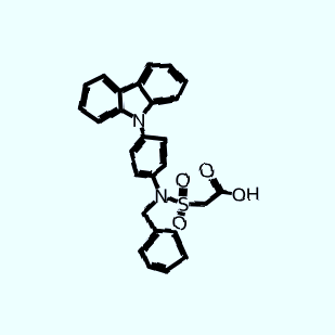 O=C(O)CS(=O)(=O)N(Cc1ccccc1)c1ccc(-n2c3ccccc3c3ccccc32)cc1